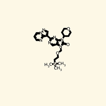 C[Si](C)(C)CCOCn1c(=O)n(C2CCOCC2)c2nc(-c3cnn4cccnc34)ncc21